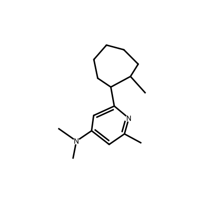 Cc1cc(N(C)C)cc(C2CCCCCC2C)n1